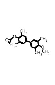 COc1c(C)cc(-c2cc(C)c(OC3CO3)c(C)c2)cc1C